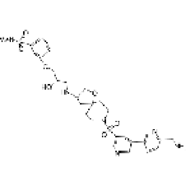 CNS(=O)(=O)c1cccc(OC[C@@H](O)CNC2COC3(CCN(S(=O)(=O)c4cncc(-c5ccc(CN)nc5)c4)CC3)C2)c1